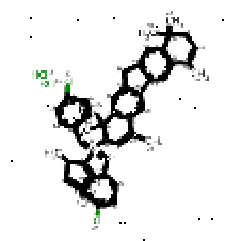 CC1=CC(C)[C]([Zr](=[CH]c2ccc(Cl)cc2)(=[CH]c2ccc(Cl)cc2)[CH]2C=C(C)c3cc4c(cc3C2(C)C)Cc2cc3c(cc2-4)C(C)=CCC3(C)C)=C1.Cl.Cl